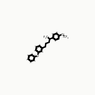 FC(F)(F)Oc1ccc(C(CCCc2cccc(Oc3ccccc3)c2)C(F)(F)F)cc1